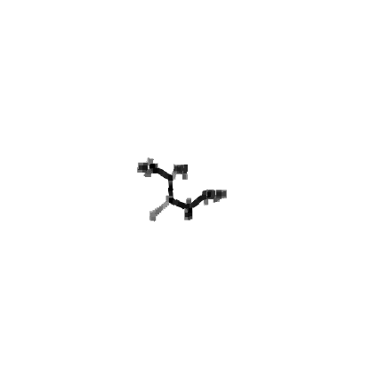 C[C@H](CN)NC(=O)O.Cl